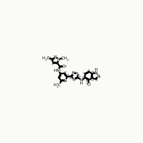 Cc1cc(NC(=O)c2cc(C)nn2C)cc(-c2nsc(Nc3ccc4[nH]ncc4c3Cl)n2)n1